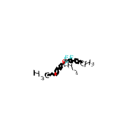 CCCCCC1CCC(c2ccc(C(C)OC(F)(F)c3ccc(C4CCC(CC)CC4)c(F)c3F)cc2)CC1